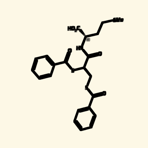 CSCC[C@H](NC(=O)C(CSC(=O)c1ccccc1)SC(=O)c1ccccc1)C(=O)O